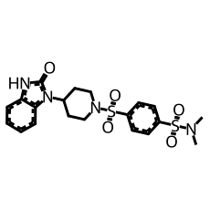 CN(C)S(=O)(=O)c1ccc(S(=O)(=O)N2CCC(n3c(=O)[nH]c4ccccc43)CC2)cc1